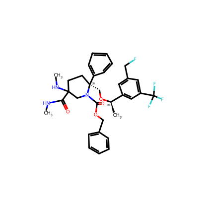 CNC(=O)C1(NC)CC[C@@](CO[C@H](C)c2cc(CF)cc(C(F)(F)F)c2)(c2ccccc2)N(C(=O)OCc2ccccc2)C1